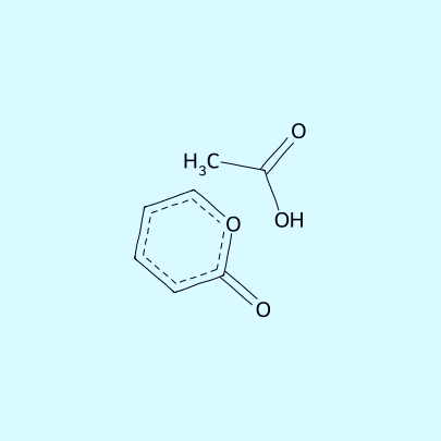 CC(=O)O.O=c1cccco1